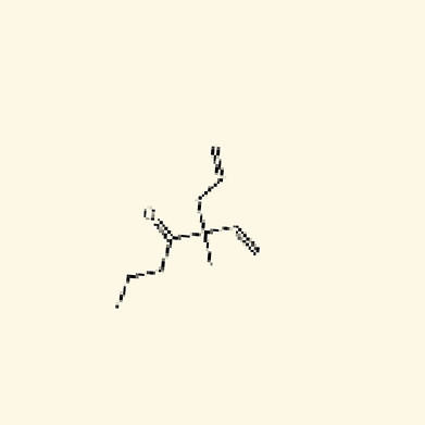 C=CCC(C)(C=C)C(=O)CCC